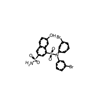 NS(=O)(=O)c1cc(S(=O)(=O)N(c2cccc(Br)c2)c2cccc(Br)c2)c2cc(O)ccc2c1